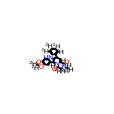 [2H]c1c([2H])c([2H])c2c3c([nH]c2c1[2H])[C@@]([2H])(c1ccc2c(c1)OC([2H])([2H])O2)N1C(=O)C([2H])([2H])N(C([2H])([2H])[2H])C(=O)[C@H]1C3